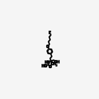 C[C@](CO)(CCc1ccc(OCCCCCF)cc1)NC(=O)O